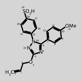 C=CCOc1nc(-c2ccc(OC)cc2)n(-c2ccc(S(=O)(=O)O)cc2)n1